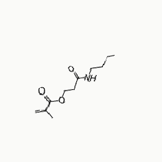 C=C(C)C(=O)OCCC(=O)NCCCC